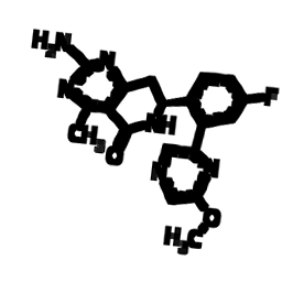 COc1cncc(-c2cc(F)ccc2[C@@H]2Cc3nc(N)nc(C)c3C(=O)N2)n1